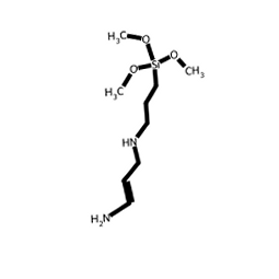 CO[Si](CCCNCC=CN)(OC)OC